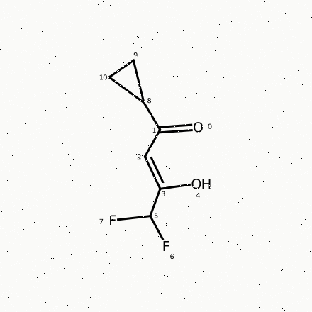 O=C(C=C(O)C(F)F)C1CC1